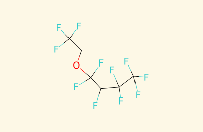 FC(C(F)(F)OCC(F)(F)F)C(F)(F)C(F)(F)F